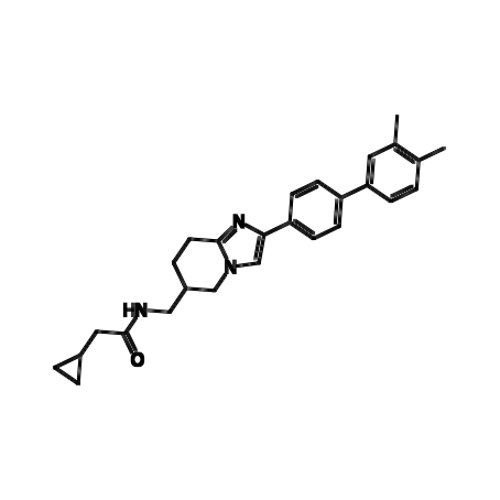 Cc1ccc(-c2ccc(-c3cn4c(n3)CCC(CNC(=O)CC3CC3)C4)cc2)cc1C